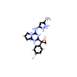 Cc1cc(Nc2nc(C3(c4ccc(F)cc4)CO3)nc3cccn23)n[nH]1